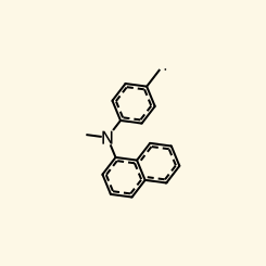 [CH2]c1ccc(N(C)c2cccc3ccccc23)cc1